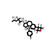 CCCC(C)(N)C(=O)N[C@@H]1CC[C@@]2(S(=O)(=O)c3ccc(F)cc3)c3ccc(C(F)(C(F)(F)F)C(F)(F)F)cc3CC[C@@H]12